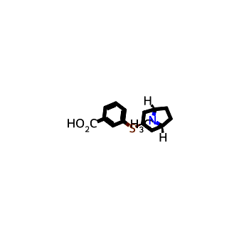 CN1[C@@H]2CC[C@H]1C[C@H](Sc1cccc(C(=O)O)c1)C2